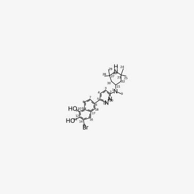 CN(c1ccc(-c2ccc3c(O)c(O)c(Br)cc3c2)nn1)C1CC(C)(C)NC(C)(C)C1